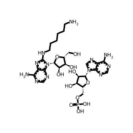 NCCCCCCNc1nc2c(N)ncnc2n1[C@@H]1O[C@H](CO)[C@@H](O)[C@H]1O.Nc1ncnc2c1ncn2[C@@H]1O[C@H](COP(=O)(O)O)[C@@H](O)[C@H]1O